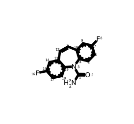 NC(=O)N1c2ccc(F)cc2C=Cc2cc(F)ccc21